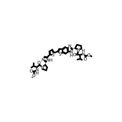 COC(=O)NC(C(=O)N1CCC[C@H]1c1ncc(-c2ccc(-c3cc4cc5nc([C@@H]6CCCN6C(=O)C(NC(=O)OC)C(C)C)[nH]c5cc4s3)s2)[nH]1)C(C)C